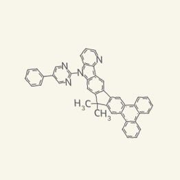 CC1(C)c2cc3c4ccccc4c4ccccc4c3cc2-c2cc3c4ncccc4n(-c4ncc(-c5ccccc5)cn4)c3cc21